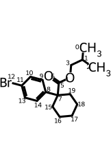 CC(C)COC(=O)C1(c2ccc(Br)cc2)CCCCC1